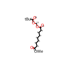 COC(=O)CCCCCCCC(=O)OCOC(=O)C(C)(C)C